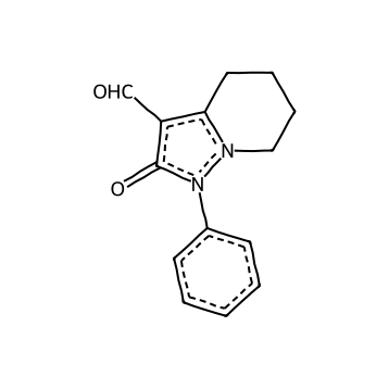 O=Cc1c2n(n(-c3ccccc3)c1=O)CCCC2